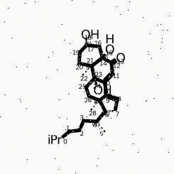 CC(C)CCC[C@@H](C)[C@H]1CC=C2C3=CC(=O)[C@@]4(O)C[C@@H](O)CC[C@]4(C)[C@@]3(O)CC[C@@]21C